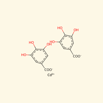 O=C([O-])c1cc(O)c(O)c(O)c1.O=C([O-])c1cc(O)c(O)c(O)c1.[Cd+2]